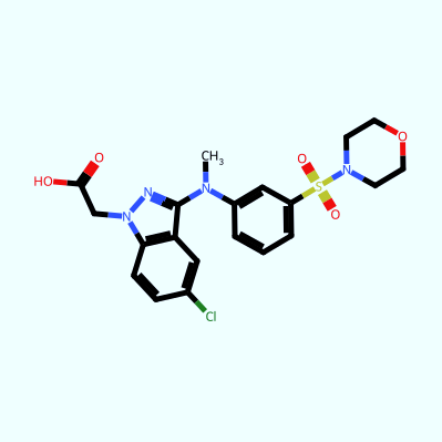 CN(c1cccc(S(=O)(=O)N2CCOCC2)c1)c1nn(CC(=O)O)c2ccc(Cl)cc12